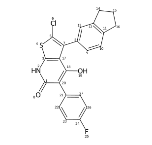 O=c1[nH]c2sc(Cl)c(-c3ccc4c(c3)CCC4)c2c(O)c1-c1ccc(F)cc1